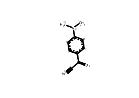 C#CC(=O)c1ccc(N(C)C)cc1